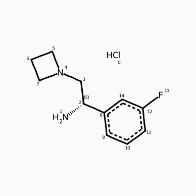 Cl.N[C@H](CN1CCC1)c1cccc(F)c1